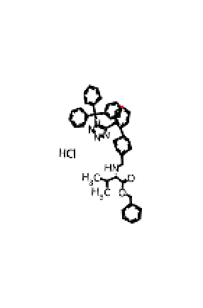 CC(C)[C@H](NCc1ccc(-c2ccccc2-c2nnnn2C(c2ccccc2)(c2ccccc2)c2ccccc2)cc1)C(=O)OCc1ccccc1.Cl